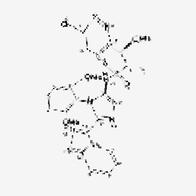 COc1cccc(OC)c1-n1c(NS(=O)(=O)[C@@H](C)[C@H](OC)c2ncc(Cl)cn2)nnc1-c1c(C)nc2ccccn12